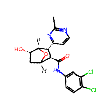 Cc1nccc([C@H]2[C@H]3O[C@H](C[C@@H]3O)[C@@H]2C(=O)Nc2ccc(Cl)c(Cl)c2)n1